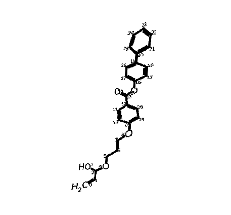 C=CC(O)OCCCOc1ccc(C(=O)Oc2ccc(-c3ccccc3)cc2)cc1